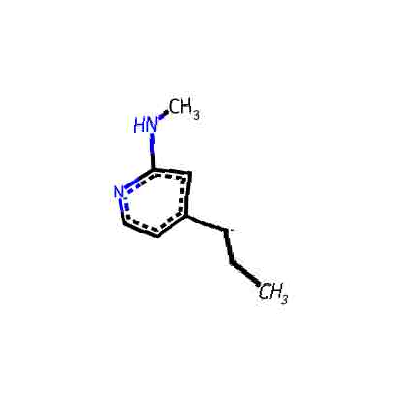 CC[CH]c1ccnc(NC)c1